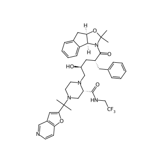 CC1(C)O[C@@H]2Cc3ccccc3[C@@H]2N1C(=O)[C@H](Cc1ccccc1)C[C@H](O)CN1CCN(C(C)(C)c2cc3cnccc3o2)C[C@H]1C(=O)NCC(F)(F)F